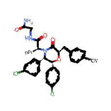 CCC[C@@H](C(=O)NCC(N)=O)N1C(=O)[C@@H](Cc2ccc(C#N)cc2)O[C@H](c2ccc(Cl)cc2)[C@@H]1c1ccc(Cl)cc1